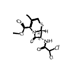 COC(=O)C1=C(C)CS[C@@H]2[C@H](NC(=O)C(Cl)Cl)C(=O)N12